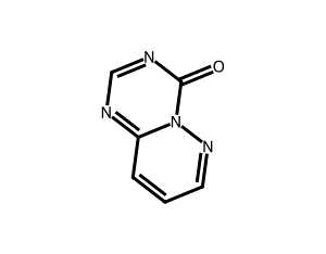 O=c1ncnc2cccnn12